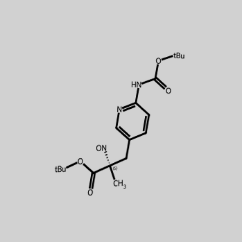 CC(C)(C)OC(=O)Nc1ccc(C[C@](C)(N=O)C(=O)OC(C)(C)C)cn1